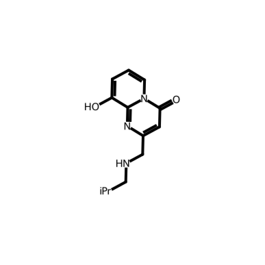 CC(C)CNCc1cc(=O)n2cccc(O)c2n1